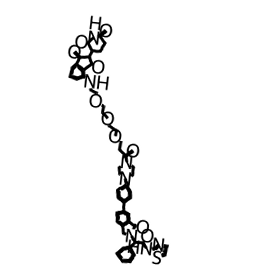 O=C1CCC(C2C(=O)c3cccc(NCCOCCOCCOCCC(=O)N4CCN(c5ccc(-c6ccc7c(c6)C(=O)N(C(C(=O)Nc6nccs6)c6ccccc6)C7)cc5)CC4)c3C2=O)C(=O)N1